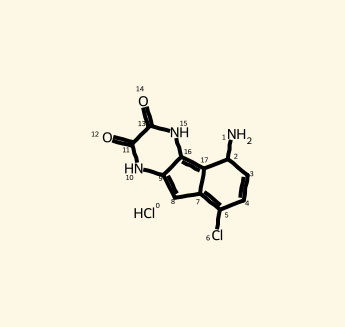 Cl.NC1C=CC(Cl)=C2C=c3[nH]c(=O)c(=O)[nH]c3=C21